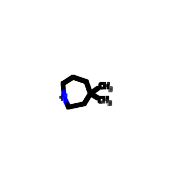 CC1(C)CCC[N]CC1